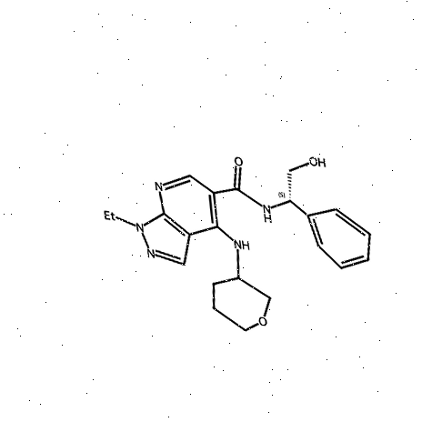 CCn1ncc2c(NC3CCCOC3)c(C(=O)N[C@H](CO)c3ccccc3)cnc21